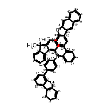 CC1(C)c2ccccc2-c2c(N(c3ccc(-c4cccc5c6c(oc45)C=CCC6)cc3)c3ccccc3-c3ccc4oc5cc6ccccc6cc5c4c3)cccc21